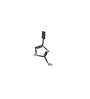 C#Cc1c[nH]c(C(C)(C)C)n1